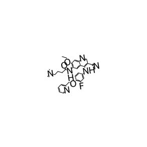 CCOc1cc2ncc(C#N)c(Nc3ccc(OCc4ccccn4)c(F)c3)c2cc1NC(=O)CCCN(C)C